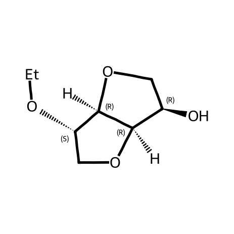 CCO[C@H]1CO[C@H]2[C@@H]1OC[C@H]2O